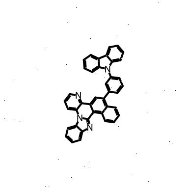 c1cc(-c2cc3c4ncccc4n4c5ccccc5nc4c3c3ccccc23)cc(-n2c3ccccc3c3ccccc32)c1